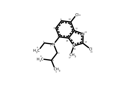 CCN(CC(C)C)c1ccc(Cl)c2nc(Cl)n(C)c12